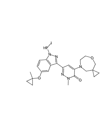 Cn1nc(-c2nn(PI)c3ccc(OC4(C)CC4)cc23)cc(N2CCOCC3(CC3)C2)c1=O